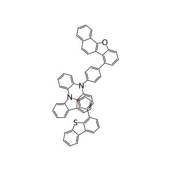 c1ccc(-n2c3ccccc3c3ccccc32)c(N(c2ccc(-c3cccc4c3sc3ccccc34)cc2)c2ccc(-c3cccc4oc5c6ccccc6ccc5c34)cc2)c1